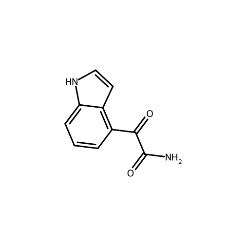 NC(=O)C(=O)c1cccc2[nH]ccc12